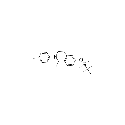 CC1c2ccc(O[Si](C)(C)C(C)(C)C)cc2CCN1c1ccc(I)cc1